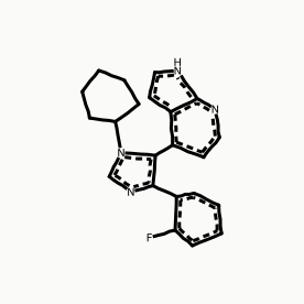 Fc1ccccc1-c1ncn(C2CCCCC2)c1-c1ccnc2[nH]ccc12